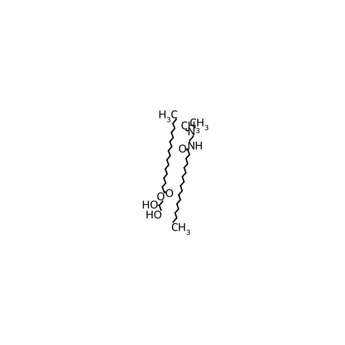 CCCCCCCCCCCCCCCCCC(=O)NCCN(CC)CC.CCCCCCCCCCCCCCCCCC(=O)OCC(O)CO